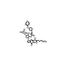 CNCCCC(=O)Nc1nc2c(ncn2[C@@H]2O[C@H](CO[PH](=O)O)[C@@H](O)[C@H]2O[PH](=O)OC[C@H]2C[C@@H](Oc3ccncn3)C[C@@H]2C)c(=O)[nH]1